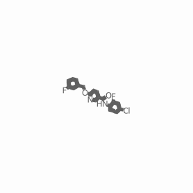 O=C(Nc1ccc(Cl)cc1F)c1ccc(OCc2cccc(F)c2)nc1